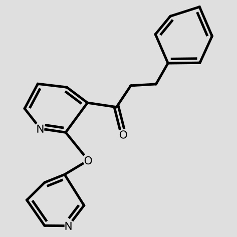 O=C(CCc1ccccc1)c1cccnc1Oc1cccnc1